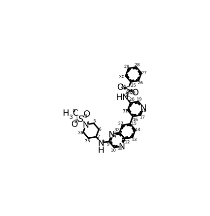 CS(=O)(=O)N1CCC(Nc2cnc3ccc(-c4cncc(NS(=O)(=O)c5ccccc5)c4)cc3n2)CC1